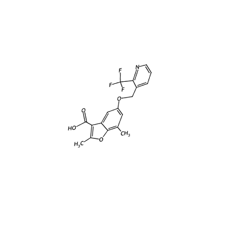 Cc1oc2c(C)cc(OCc3cccnc3C(F)(F)F)cc2c1C(=O)O